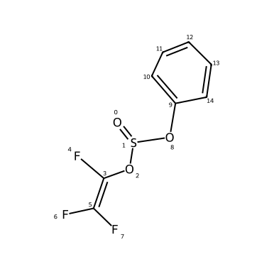 O=S(OC(F)=C(F)F)Oc1ccccc1